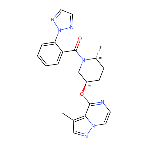 Cc1cnn2ccnc(O[C@@H]3CC[C@@H](C)N(C(=O)c4ccccc4-n4nccn4)C3)c12